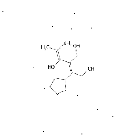 C/C(N)=C(O)/C(CO)=C(/CO)C1CCCC1